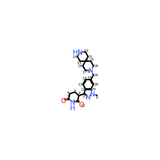 Cn1nc(C2CCC(=O)NC2=O)c2ccc(CN3CCC4(CCNCC4)CC3)cc21